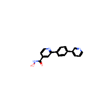 O=C(NO)c1ccnc(-c2ccc(-c3cccnc3)cc2)c1